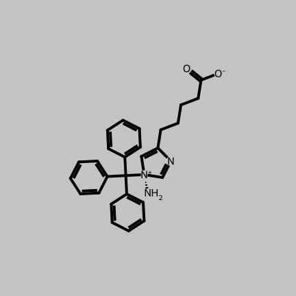 N[N@@+]1(C(c2ccccc2)(c2ccccc2)c2ccccc2)C=NC(CCCCC(=O)[O-])=C1